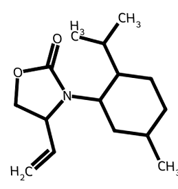 C=CC1COC(=O)N1C1CC(C)CCC1C(C)C